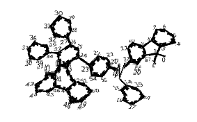 CC1(C)c2ccccc2-c2ccc(N(c3ccccc3)c3ccc(-c4cc(-c5ccccc5)c(-c5ccccc5)c5c6ccccc6c6ccccc6c45)cc3)cc21